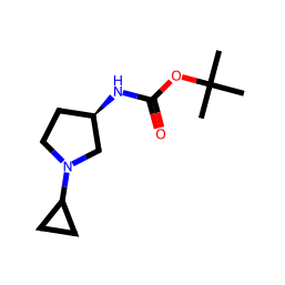 CC(C)(C)OC(=O)N[C@@H]1CCN(C2CC2)C1